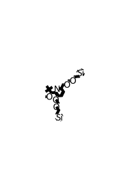 COC(c1nc(COCOCC[Si](C)(C)C)ccc1OCOCC[Si](C)(C)C)C(C)(C)C